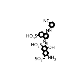 N#Cc1cccc(N=Nc2ccc(N=Nc3c(S(=O)(=O)O)cc4cc(S(=O)(=O)O)c(N)cc4c3O)c3c2CC=C(S(=O)(=O)O)C3)c1